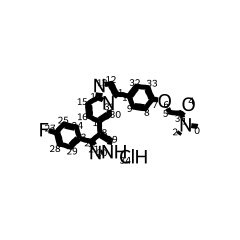 CN(C)C(=O)COc1ccc(-c2cnc3ccc(-c4c[nH]nc4-c4ccc(F)cc4)cn23)cc1.Cl